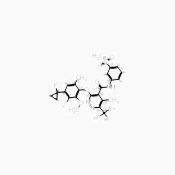 COc1c(F)c(C2(F)CC2)cc(C)c1Oc1nnc(C(F)(F)F)c(C)c1C(=O)Nc1cccc(S(C)(=O)=O)c1